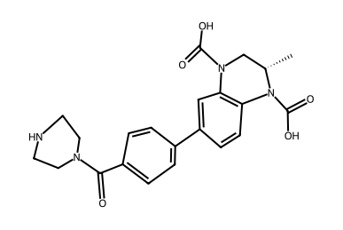 C[C@H]1CN(C(=O)O)c2cc(-c3ccc(C(=O)N4CCNCC4)cc3)ccc2N1C(=O)O